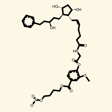 COc1cc(C(=O)OCCCCO[N+](=O)[O-])ccc1OC(=O)CNC(=O)CCC/C=C\C[C@@H]1[C@@H](CC[C@@H](O)CCc2ccccc2)[C@H](O)C[C@@H]1O